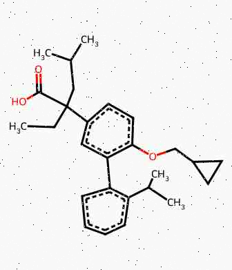 CCC(CC(C)C)(C(=O)O)c1ccc(OCC2CC2)c(-c2ccccc2C(C)C)c1